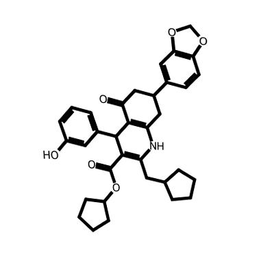 O=C1CC(c2ccc3c(c2)OCO3)CC2=C1C(c1cccc(O)c1)C(C(=O)OC1CCCC1)=C(CC1CCCC1)N2